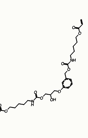 C=CC(=O)OCCCCCNC(=O)OCc1cccc(OCC(O)COC(=O)NCCCCCOC(=O)C=C)c1